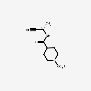 C#C[C@H](C)NC(=O)C1CCN(C(=O)O)CC1